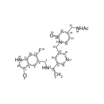 C=C(NCc1cc2c(Cl)c[nH]c2cc1F)c1cncc(Cn2ccc(CNC(C)=O)cc2=O)c1